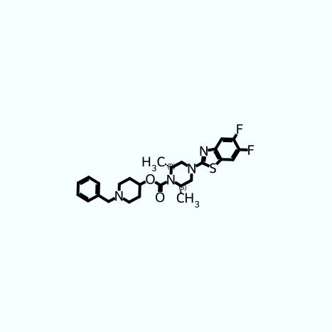 C[C@@H]1CN(c2nc3cc(F)c(F)cc3s2)C[C@H](C)N1C(=O)OC1CCN(Cc2ccccc2)CC1